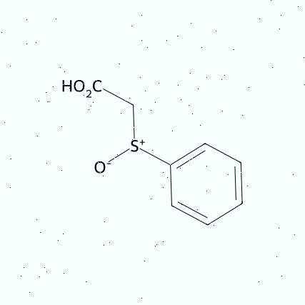 O=C(O)C[S+]([O-])c1ccccc1